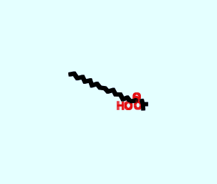 CCCCCCCCCCCCCCCCC(O)C(=O)OC(C)(C)C